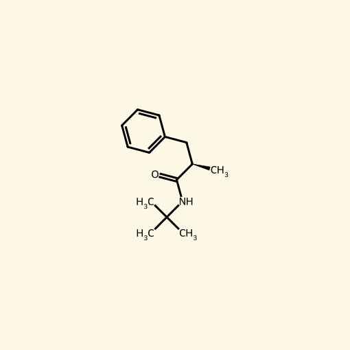 C[C@H](Cc1ccccc1)C(=O)NC(C)(C)C